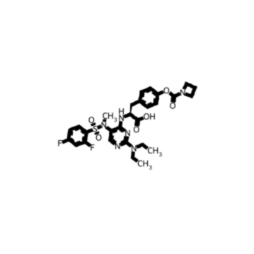 CCN(CC)c1ncc(N(C)S(=O)(=O)c2ccc(F)cc2F)c(N[C@@H](Cc2ccc(OC(=O)N3CCC3)cc2)C(=O)O)n1